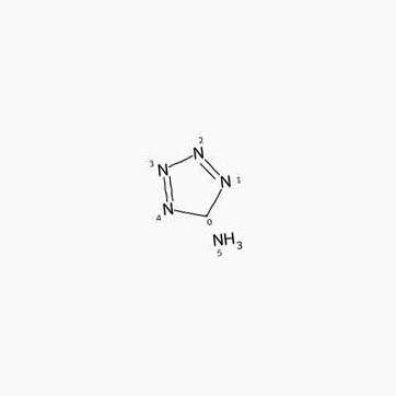 C1N=NN=N1.N